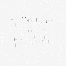 CCN1CCN(C)C[C@@H](NC(=O)c2cc(Br)c(NC)nc2OC)C1.O=C(O)/C=C/C(=O)O.O=C(O)/C=C/C(=O)O